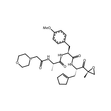 COc1ccc(C[C@H](NC(=O)[C@H](C)NC(=O)CN2CCOCC2)C(=O)N[C@@H](CC2=CCCC2)C(=O)[C@@]2(C)CO2)cc1